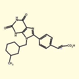 CC1CCCC(Cn2c(-c3ccc(/C=C/C(=O)O)cc3)nc3c(=O)[nH]c(=O)[nH]c32)C1